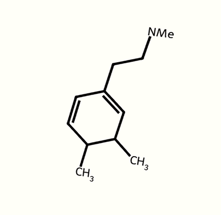 CNCCC1=CC(C)C(C)C=C1